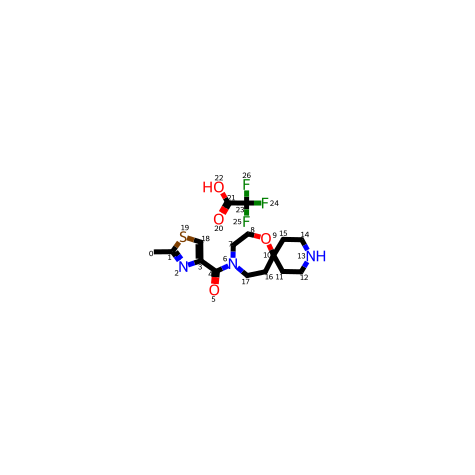 Cc1nc(C(=O)N2CCOC3(CCNCC3)CC2)cs1.O=C(O)C(F)(F)F